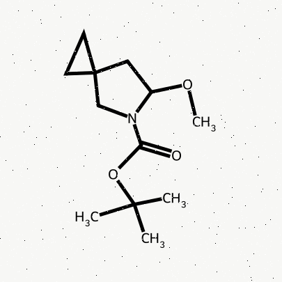 COC1CC2(CC2)CN1C(=O)OC(C)(C)C